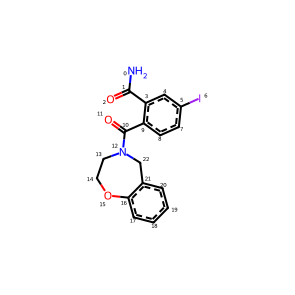 NC(=O)c1cc(I)ccc1C(=O)N1CCOc2ccccc2C1